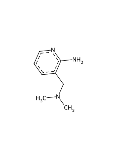 CN(C)Cc1cccnc1N